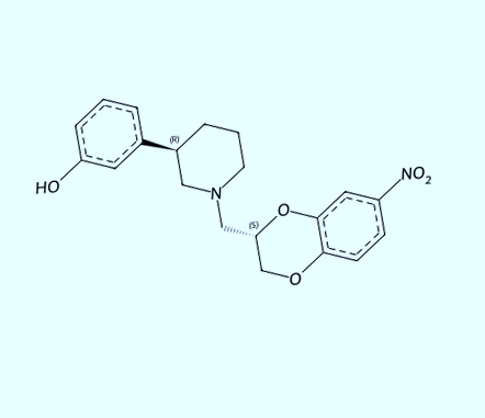 O=[N+]([O-])c1ccc2c(c1)O[C@@H](CN1CCC[C@H](c3cccc(O)c3)C1)CO2